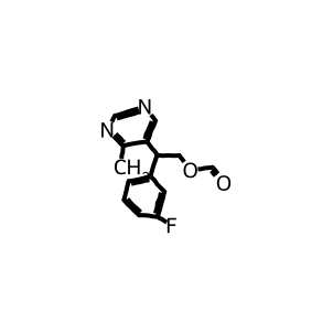 Cc1ncncc1C(COC=O)c1cccc(F)c1